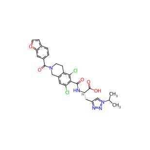 CC(C)n1cc(C[C@H](NC(=O)c2c(Cl)cc3c(c2Cl)CCN(C(=O)c2ccc4ccoc4c2)C3)C(=O)O)nn1